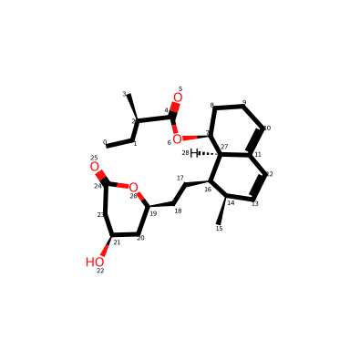 CC[C@@H](C)C(=O)O[C@H]1CCC=C2C=C[C@@H](C)[C@@H](CC[C@H]3C[C@@H](O)CC(=O)O3)[C@H]21